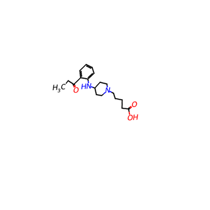 CCC(=O)c1ccccc1NC1CCN(CCCCC(=O)O)CC1